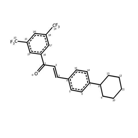 O=C(C=Cc1ccc(C2CCCCC2)cc1)c1cc(C(F)(F)F)cc(C(F)(F)F)c1